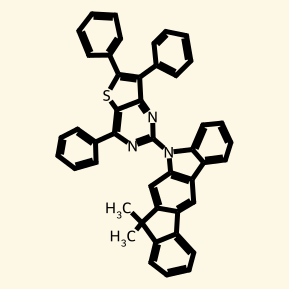 CC1(C)c2ccccc2-c2cc3c4ccccc4n(-c4nc(-c5ccccc5)c5sc(-c6ccccc6)c(-c6ccccc6)c5n4)c3cc21